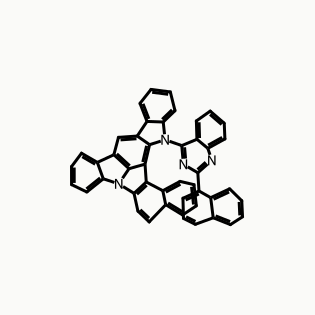 c1ccc2c(-c3nc(-n4c5ccccc5c5cc6c7ccccc7n7c8ccc9ccccc9c8c(c54)c67)c4ccccc4n3)cccc2c1